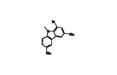 Cn1c2ccc(C(C)(C)C)cc2c2cc(C(C)(C)C)cc(Br)c21